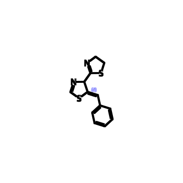 C1=NC(C2=NCCS2)/C(=C/c2ccccc2)S1